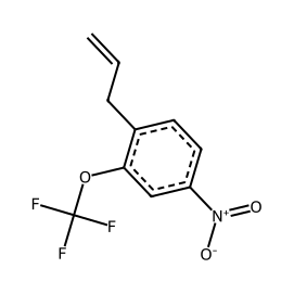 C=CCc1ccc([N+](=O)[O-])cc1OC(F)(F)F